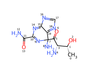 C[C@@H](O)[C@H](N)C(=O)C1(N)N=C(C(N)=O)N=C2N=CN=C21